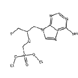 CCOP(=O)(COC(CF)Cn1cnc2c(N)ncnc21)OCC